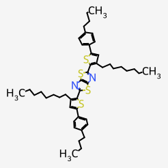 CCCCCCCCc1cc(-c2ccc(CCCC)cc2)sc1-c1nc2sc(-c3sc(-c4ccc(CCCC)cc4)cc3CCCCCCCC)nc2s1